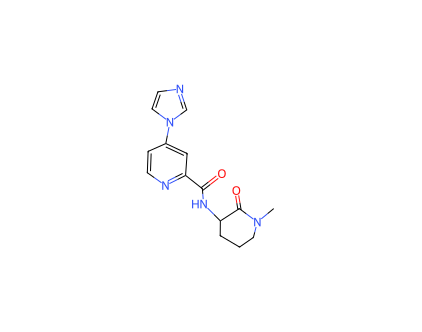 CN1CCCC(NC(=O)c2cc(-n3ccnc3)ccn2)C1=O